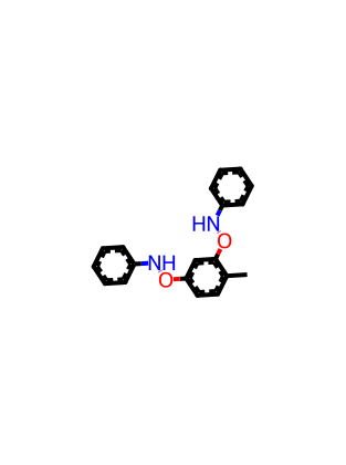 Cc1ccc(ONc2ccccc2)cc1ONc1ccccc1